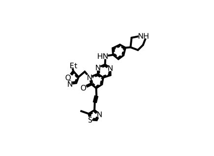 CCc1oncc1Cn1c(=O)c(C#Cc2ncsc2C)cc2cnc(Nc3ccc(C4CCCNC4)cc3)nc21